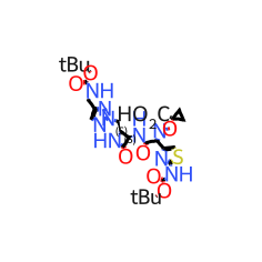 CC(C)(C)OC(=O)NCc1cnn(C[C@@H]2NC(=O)[C@H]2NC(=O)C(=NOC2(C(=O)O)CC2)c2csc(NC(=O)OC(C)(C)C)n2)n1